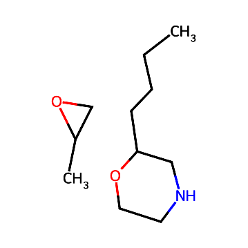 CC1CO1.CCCCC1CNCCO1